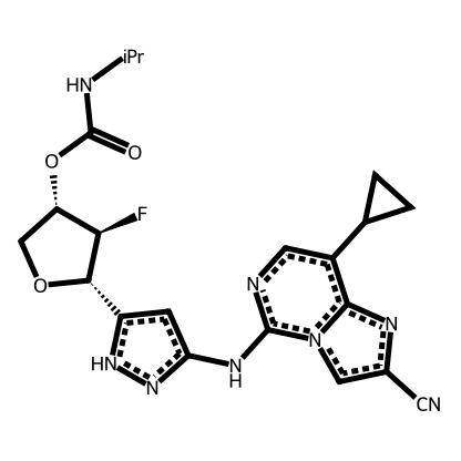 CC(C)NC(=O)O[C@H]1CO[C@@H](c2cc(Nc3ncc(C4CC4)c4nc(C#N)cn34)n[nH]2)[C@@H]1F